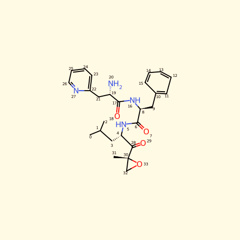 CC(C)C[C@H](NC(=O)[C@H](Cc1ccccc1)NC(=O)[C@@H](N)Cc1ccccn1)C(=O)[C@@]1(C)CO1